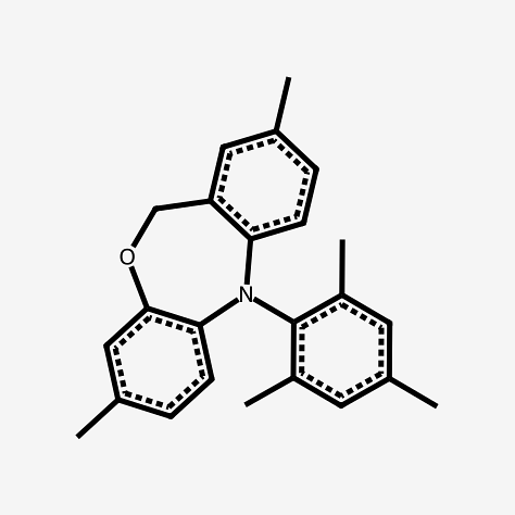 Cc1cc(C)c(N2c3ccc(C)cc3COc3cc(C)ccc32)c(C)c1